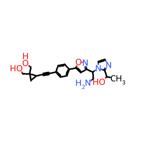 CC(O)c1nccn1C(CN)c1cc(-c2ccc(C#CC3CC3(CO)CO)cc2)on1